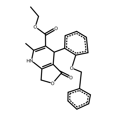 CCOC(=O)C1=C(C)NC2=C(C(=O)OC2)C1c1ccccc1OCc1ccccc1